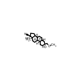 COC[C@@]1(O)CC[C@H]2[C@H](CC[C@@H]3[C@@H]2CC[C@@]2(C)[C@H]3CCC2(O)C#N)C1